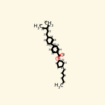 CCCCCC[C@H]1CC[C@H](OC(=O)c2ccc(C3=CCC(CCC(CC)CC)CC3)cc2)CC1